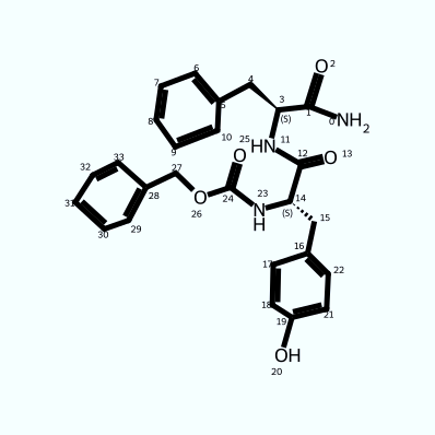 NC(=O)[C@H](Cc1ccccc1)NC(=O)[C@H](Cc1ccc(O)cc1)NC(=O)OCc1ccccc1